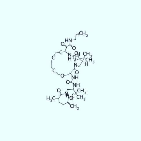 C=CCNC(=O)C(=O)[C@@H]1CCCCCCCOCC(NC(=O)N[C@H](CN2C(=O)C(=C)CCC(C)C2=O)C(C)(C)C)C(=O)N2C[C@H]3[C@@H]([C@H]2C(=O)N1)C3(C)C